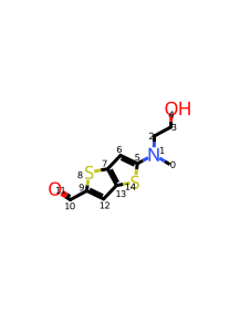 CN(CCO)c1cc2sc(C=O)cc2s1